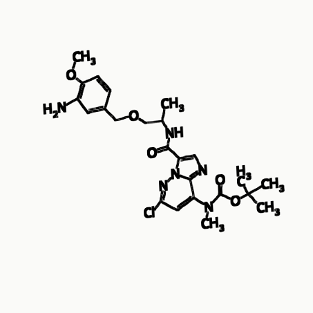 COc1ccc(COCC(C)NC(=O)c2cnc3c(N(C)C(=O)OC(C)(C)C)cc(Cl)nn23)cc1N